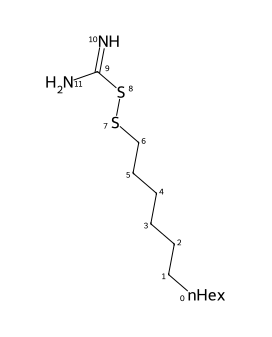 CCCCCCCCCCCCSSC(=N)N